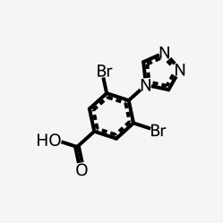 O=C(O)c1cc(Br)c(-n2cnnc2)c(Br)c1